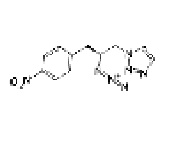 [N-]=[N+]=N[C@@H](Cc1ccc([N+](=O)[O-])cc1)Cn1ccnn1